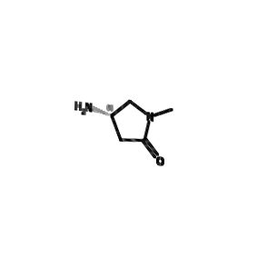 CN1C[C@@H](N)CC1=O